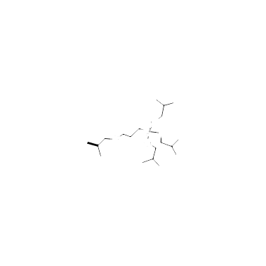 C=C(C)COCCC[Si](OCC(C)C)(OCC(C)C)OCC(C)C